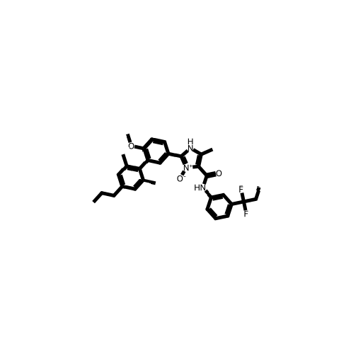 CCCc1cc(C)c(-c2cc(-c3[nH]c(C)c(C(=O)Nc4cccc(C(F)(F)CC)c4)[n+]3[O-])ccc2OC)c(C)c1